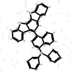 c1ccc(N(c2ccccc2)c2ccc(-c3cc4c5ccccc5oc4c4sc5ccccc5c34)c3ccccc23)cc1